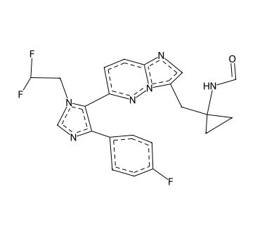 O=CNC1(Cc2cnc3ccc(-c4c(-c5ccc(F)cc5)ncn4CC(F)F)nn23)CC1